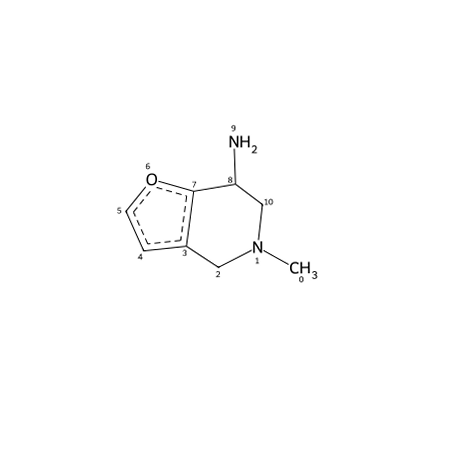 CN1Cc2ccoc2C(N)C1